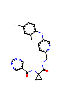 CC(C)c1ccc(Nc2ccc(CNC(=O)C3(NC(=O)c4cncnc4)CC3)nc2)c(C(F)(F)F)c1